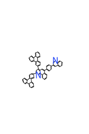 c1ccc2ncc(-c3ccc(-c4cc5c(-c6ccc7c8ccccc8c8ccccc8c7c6)cc(-c6ccc7c8ccccc8c8ccccc8c7c6)nc5c5ccccc45)cc3)cc2c1